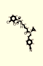 N#Cc1ccc(CCN(C(=O)CCCNCS(=O)(=O)c2cccc(Cl)c2Cl)C2CC2)cc1